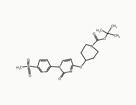 CC(C)(C)OC(=O)N1CCC(Oc2ccn(-c3ccc(S(C)(=O)=O)cc3)c(=O)n2)CC1